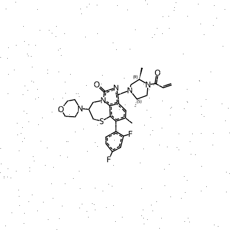 C=CC(=O)N1C[C@H](C)N(c2nc(=O)n3c4c(c(-c5ccc(F)cc5F)c(C)cc24)SCC(N2CCOCC2)C3)C[C@H]1C